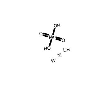 [LiH].[Ni].[O]=[Mn](=[O])([OH])[OH].[W]